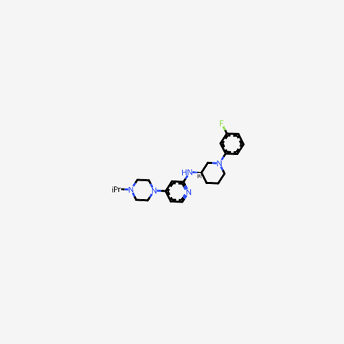 CC(C)N1CCN(c2ccnc(N[C@@H]3CCCN(c4cccc(F)c4)C3)c2)CC1